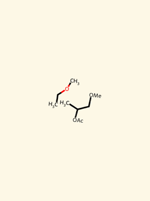 CCOC.COCC(C)OC(C)=O